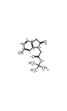 CC(C)(C)OC(=O)CN1C(=O)Cc2cnc(Cl)cc21